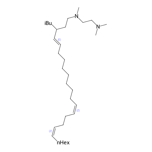 CCCCCC/C=C\CC/C=C\CCCCCCC/C=C/C(CCN(C)CCN(C)C)C(C)CC